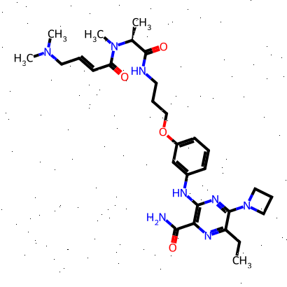 CCc1nc(C(N)=O)c(Nc2cccc(OCCCNC(=O)[C@H](C)N(C)C(=O)/C=C/CN(C)C)c2)nc1N1CCC1